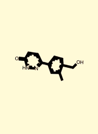 Cc1cc(-c2ccc(=O)[nH]n2)ccc1CO